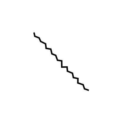 CCCCCCCCCCCCCCCCCCCCC